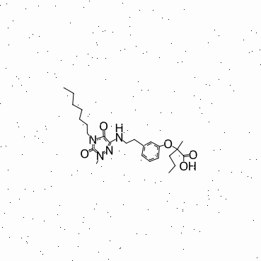 CCCCCCCn1c(=O)c(NCCc2cccc(OC(C)(CCC)C(=O)O)c2)nn(C)c1=O